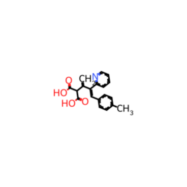 C=C(C(=Cc1ccc(C)cc1)c1ccccn1)C(C(=O)O)C(=O)O